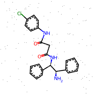 N[C@H](c1ccccc1)[C@H](NC(=O)CC(=O)Nc1ccc(Cl)cc1)c1ccccc1